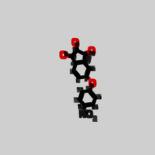 O=c1c(=O)c2ccc(Oc3ccc([N+](=O)[O-])cc3)cc2c1=O